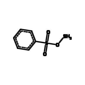 O=S(=O)(O[SiH3])c1ccccc1